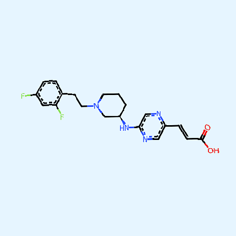 O=C(O)C=Cc1cnc(N[C@@H]2CCCN(CCc3ccc(F)cc3F)C2)cn1